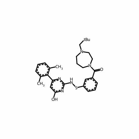 Cc1cccc(C)c1-c1cc(O)nc(NSc2cccc(C(=O)N3CCCN(CC(C)(C)C)CC3)c2)n1